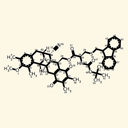 COc1c(C)cc2c(c1C)[C@H]1[C@@H]3CC4=C(C(=O)C(C)=C(C)C4=O)[C@H](COC(=O)[C@@H](CSCC4c5ccccc5-c5ccccc54)NC(=O)OC(C)(C)C)N3[C@@H](C#N)[C@@H](C2)N1C